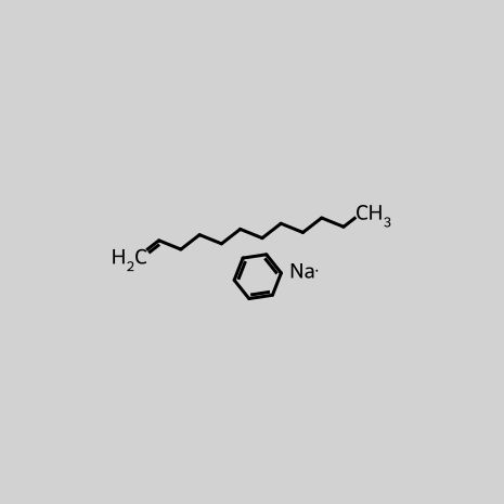 C=CCCCCCCCCCC.[Na].c1ccccc1